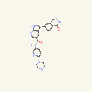 CN1CCN(c2ccc(NC(=O)c3cnc4[nH]cc(-c5ccc6c(c5)CCNC6=O)c4c3)cn2)CC1